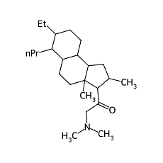 CCCC1C(CC)CCC2C1CCC1(C)C2CC(C)C1C(=O)CN(C)C